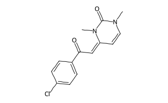 CN1C=CC(=CC(=O)c2ccc(Cl)cc2)N(C)C1=O